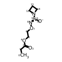 CCC(=O)OCCO/N=[N+](\[O-])N1CCC1